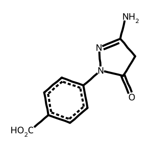 NC1=NN(c2ccc(C(=O)O)cc2)C(=O)C1